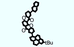 CC(C)(C)c1cc2ccc3ccc(-c4ccc5oc6c(ccc7oc8ccc(-c9ccc%10ccccc%10c9)cc8c(=O)c76)c(=O)c5c4)c4ccc(c1)c2c34